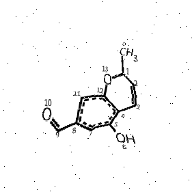 CC1C=Cc2c(O)cc(C=O)cc2O1